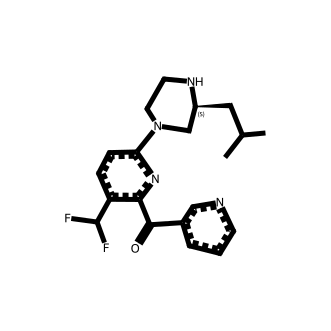 CC(C)C[C@H]1CN(c2ccc(C(F)F)c(C(=O)c3cccnc3)n2)CCN1